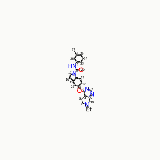 CCN1CCc2c(ncnc2Oc2ccc3c(ccn3C(=O)Nc3cccc(C)c3)c2)C1